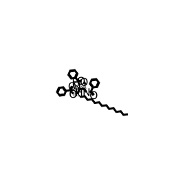 CCCCCCCCCCCCCC[C@@H](OC(=O)c1ccccc1)[C@@H](OC(=O)c1ccccc1)[C@H](CO)NC(=O)c1ccccc1